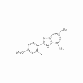 COc1ccc(-c2nc3cc(C(C)(C)C)cc(C(C)(C)C)c3o2)c(C)c1